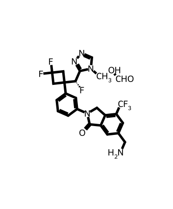 Cn1cnnc1[C@H](F)C1(c2cccc(N3Cc4c(cc(CN)cc4C(F)(F)F)C3=O)c2)CC(F)(F)C1.O=CO